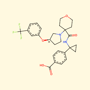 O=C(O)c1ccc(C2(NC(=O)C3(N4CC[C@@H](Oc5cccc(C(F)(F)F)c5)C4)CCOCC3)CC2)cc1